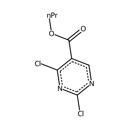 CCCOC(=O)c1cnc(Cl)nc1Cl